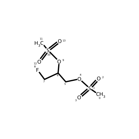 CS(=O)(=O)OCC(CF)OS(C)(=O)=O